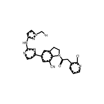 [2H]Cn1ccc(Nc2nccc(-c3cc(C#N)c4c(c3)CCN4C(=O)Cc3cccnc3Cl)n2)n1